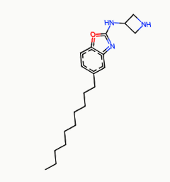 CCCCCCCCCCc1ccc2oc(NC3CNC3)nc2c1